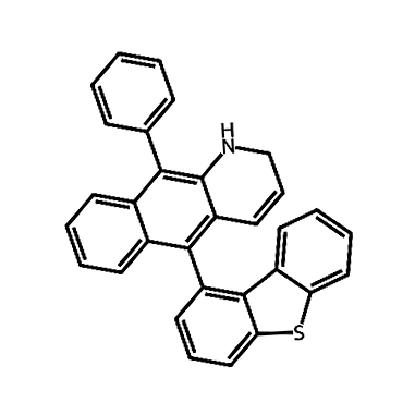 C1=Cc2c(c(-c3ccccc3)c3ccccc3c2-c2cccc3sc4ccccc4c23)NC1